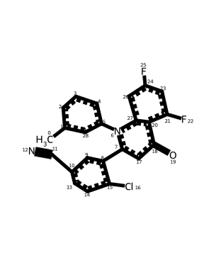 Cc1cccc(-n2c(-c3cc(C#N)ccc3Cl)cc(=O)c3c(F)cc(F)cc32)c1